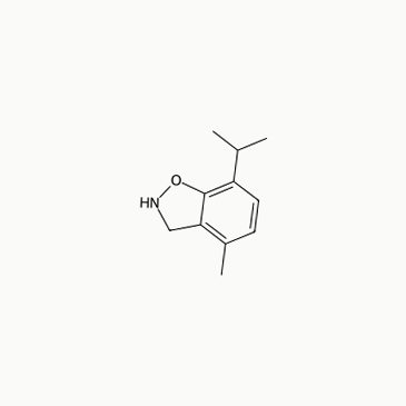 Cc1ccc(C(C)C)c2c1CNO2